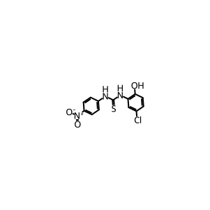 O=[N+]([O-])c1ccc(NC(=S)Nc2cc(Cl)ccc2O)cc1